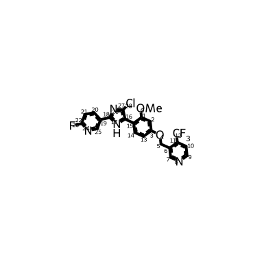 COc1cc(OCc2cnccc2C(F)(F)F)ccc1-c1[nH]c(-c2ccc(F)nc2)nc1Cl